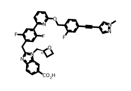 Cn1cc(C#Cc2ccc(COc3cccc(-c4cc(F)c(Cc5nc6ccc(C(=O)O)cc6n5C[C@@H]5CCO5)cc4F)n3)c(F)c2)cn1